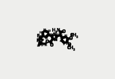 COc1ccc(C(C(N)=O)c2nc(C(=O)OCC3CC3)c(-c3cccc(C(F)(F)F)c3)s2)cc1OC